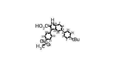 CC(C)(C)c1ccc(-c2ccc3[nH]c(C(=O)O)c(-c4ccc(S(C)(=O)=O)cc4)c3c2)cc1